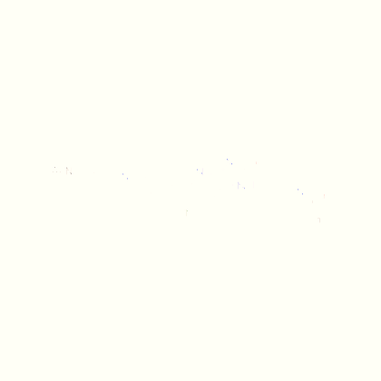 CC(=O)NC1CCN(c2ccc(-c3nc4nc(OC5CCN(C(=O)C(C)C)CC5)[nH]c4cc3Cl)cc2)CC1